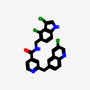 O=C(NCc1ccc2[nH]cc(Cl)c2c1F)c1ccnc(Cc2ccc3ncc(Cl)cc3c2)c1